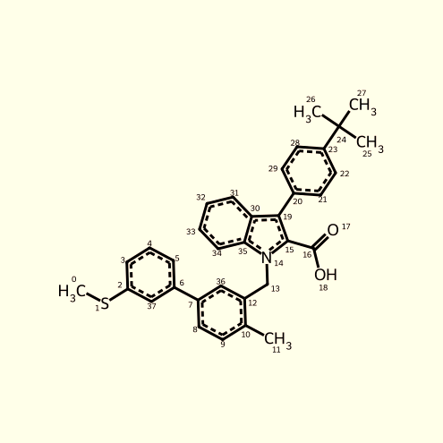 CSc1cccc(-c2ccc(C)c(Cn3c(C(=O)O)c(-c4ccc(C(C)(C)C)cc4)c4ccccc43)c2)c1